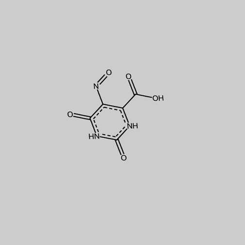 O=Nc1c(C(=O)O)[nH]c(=O)[nH]c1=O